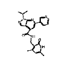 Cc1cc(C)c(CNC(=O)c2cc(-c3cccnc3)nc3c2cnn3C(C)C)c(=O)[nH]1